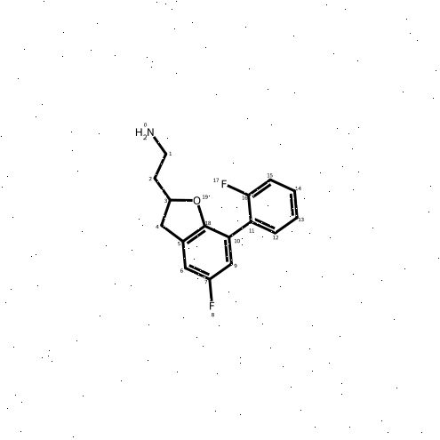 NCCC1Cc2cc(F)cc(-c3ccccc3F)c2O1